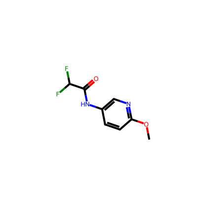 COc1ccc(NC(=O)C(F)F)cn1